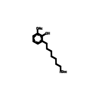 CCCCCCCCCCCCCCCCCc1cccc(OC(C)=O)c1O